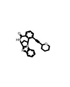 O=C1NC2CC(c3c(C#CC4CCCCO4)cccc31)n1c2nc2ccccc21